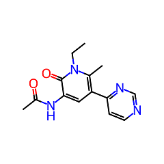 CCn1c(C)c(-c2ccncn2)cc(NC(C)=O)c1=O